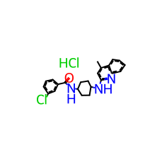 Cc1cc(NC2CCC(NC(=O)c3cccc(Cl)c3)CC2)nc2ccccc12.Cl